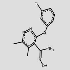 Cc1nnc(Sc2cccc(Cl)c2)c(C(N)=NO)c1C